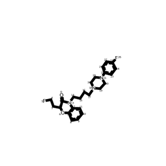 O=C1C(CCF)Oc2ccccc2N1CCCCN1CCN(c2ccc(F)cc2)CC1